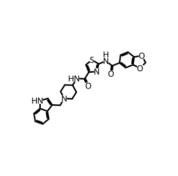 O=C(Nc1nc(C(=O)NC2CCN(Cc3c[nH]c4ccccc34)CC2)cs1)c1ccc2c(c1)OCO2